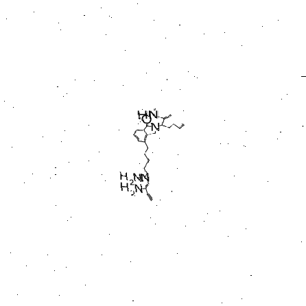 C#C/C(N)=C/N(N)CCCCCc1cccc2c1CN(C(CCC=C)C(=C)NC)C2=O